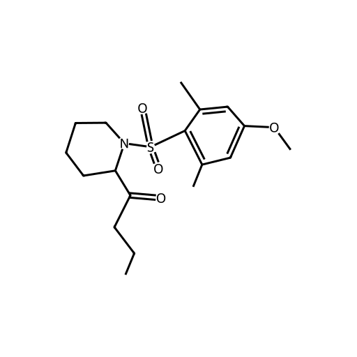 CCCC(=O)C1CCCCN1S(=O)(=O)c1c(C)cc(OC)cc1C